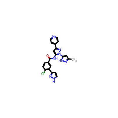 O=C(Nc1cc(-c2ccncc2)nn1-c1cc(C(F)(F)F)n[nH]1)c1ccc(Cl)c(-c2cc[nH]n2)c1